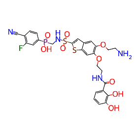 N#Cc1ccc(P(=O)(O)CNS(=O)(=O)c2cc3cc(OCCN)c(OCCNC(=O)c4cccc(O)c4O)cc3s2)cc1F